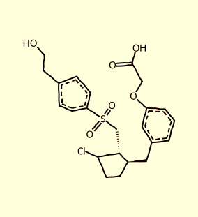 O=C(O)COc1cccc(C[C@H]2CCC(Cl)[C@@H]2CS(=O)(=O)c2ccc(CCO)cc2)c1